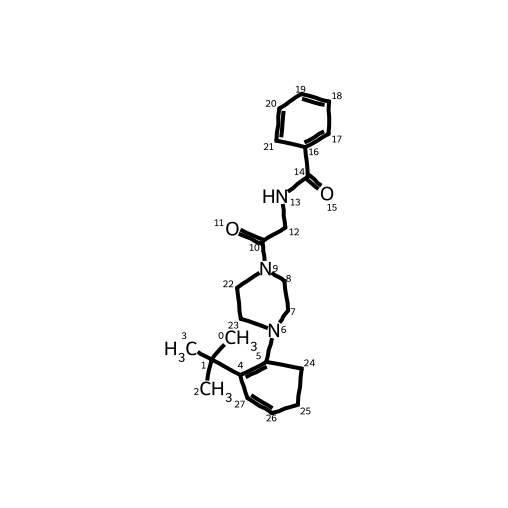 CC(C)(C)C1=C(N2CCN(C(=O)CNC(=O)c3ccccc3)CC2)CCC=C1